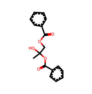 CC(O)(COC(=O)c1ccccc1)OC(=O)c1ccccc1